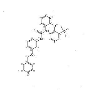 CC(C)(C)c1ccccc1Oc1ncccc1NC(=O)Nc1cccc(OCc2ccncc2)c1